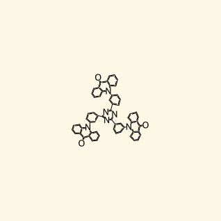 O=c1c2ccccc2n(-c2cccc(-c3nc(-c4cccc(-n5c6ccccc6c(=O)c6ccccc65)c4)nc(-c4cccc(-n5c6ccccc6c(=O)c6ccccc65)c4)n3)c2)c2ccccc12